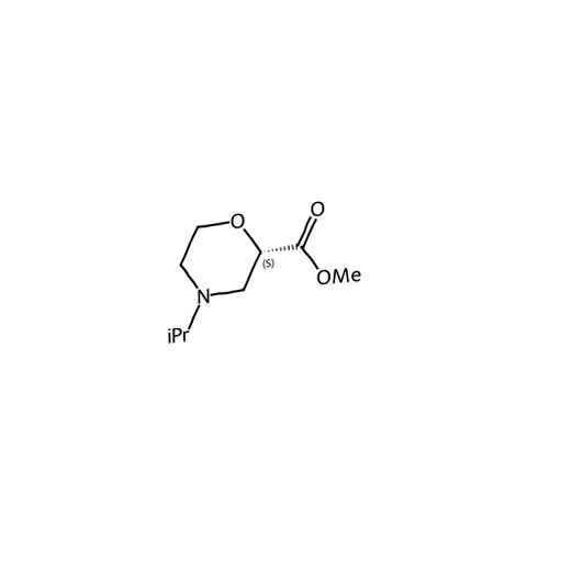 COC(=O)[C@@H]1CN(C(C)C)CCO1